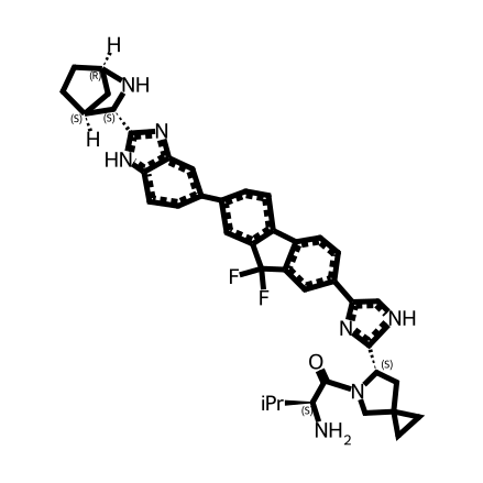 CC(C)[C@H](N)C(=O)N1CC2(CC2)C[C@H]1c1nc(-c2ccc3c(c2)C(F)(F)c2cc(-c4ccc5[nH]c([C@H]6N[C@@H]7CC[C@H]6C7)nc5c4)ccc2-3)c[nH]1